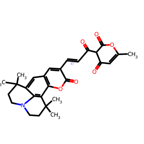 CC1=CC(=O)C(C(=O)/C=C/c2cc3cc4c5c(c3oc2=O)C(C)(C)CCN5CCC4(C)C)C(=O)O1